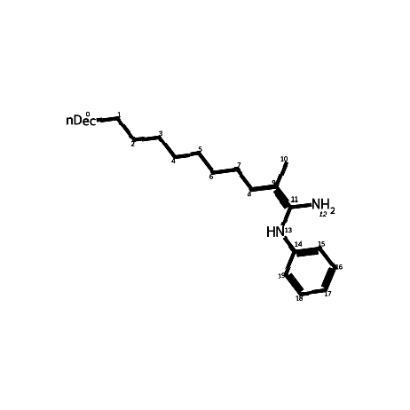 CCCCCCCCCCCCCCCCCCC(C)=C(N)Nc1ccccc1